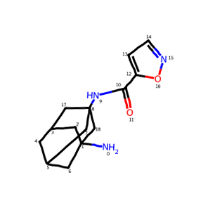 NC12CC3CC(C1)CC(NC(=O)c1ccno1)(C3)C2